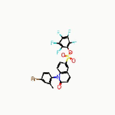 Cc1cc(Br)ccc1-n1c(=O)ccc2cc(S(=O)(=O)Oc3c(F)c(F)c(F)c(F)c3F)ccc21